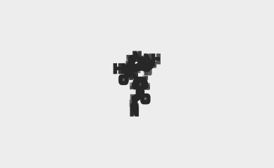 N#CCC(=O)N1CC[C@H](n2c(=O)[nH]c3cnc4[nH]ccc4c32)C1